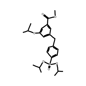 COC(=O)c1cc(Cc2ccc(P(=O)(OC(C)C)OC(C)C)cc2)cc(OC(C)C)c1